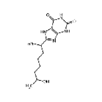 CCCC(CCCCC(C)O)c1nc2[nH]c(=O)[nH]c(=O)c2[nH]1